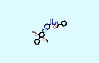 CCOC1=CC(F)(CN2CCC(Nc3nc(-c4ccccc4)co3)CC2)CC(OCC)=C1c1ccccc1